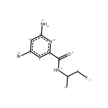 CC(CF)NC(=O)c1cc(Br)cc(N)n1